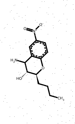 CCCC[C@@H]1Oc2ccc([N+](=O)[O-])cc2C(N)[C@H]1O